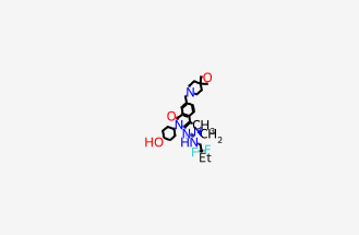 C=N/C(=N\c1c(C)c2ccc(CN3CCC4(CC3)COC4)cc2c(=O)n1C1CCC(O)CC1)NCC(F)(F)CC